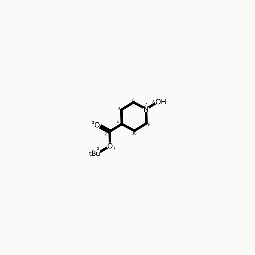 CC(C)(C)OC(=O)C1CCN(O)CC1